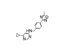 Cc1nc(-c2ccc(CNc3cc(C4CC4)ncn3)cc2)no1